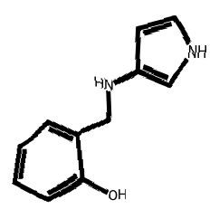 Oc1ccccc1CNc1cc[nH]c1